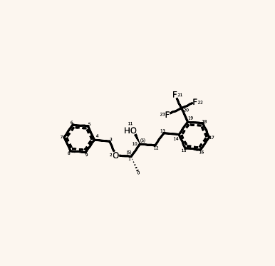 C[C@H](OCc1ccccc1)[C@@H](O)CCc1ccccc1C(F)(F)F